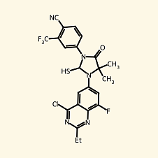 CCc1nc(Cl)c2cc(N3C(S)N(c4ccc(C#N)c(C(F)(F)F)c4)C(=O)C3(C)C)cc(F)c2n1